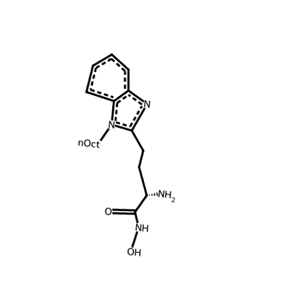 CCCCCCCCn1c(CC[C@H](N)C(=O)NO)nc2ccccc21